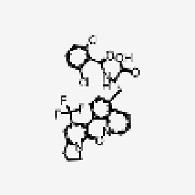 O=C(N[C@@H](Cc1ccc(-c2c(C(F)(F)F)cc3n(c2=O)CCC3)c2ncccc12)C(=O)O)c1c(Cl)cccc1Cl